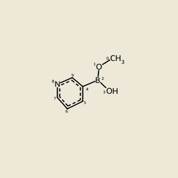 COB(O)c1cccnc1